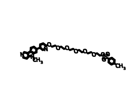 Cc1ccc(S(=O)(=O)OCCOCCOCCOCCOCCOCCOc2ccc(-c3ccc4c5cnccc5n(C)c4c3)cn2)cc1